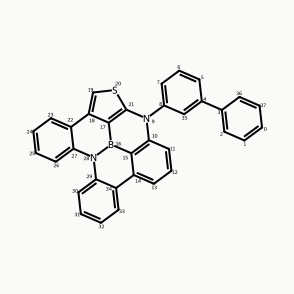 c1ccc(-c2cccc(N3c4cccc5c4B4c6c(csc63)-c3ccccc3N4c3ccccc3-5)c2)cc1